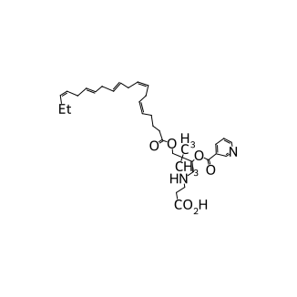 CC/C=C\CC=CCC=CC/C=C\C/C=C\CCCC(=O)OCC(C)(C)[C@H](CNCCC(=O)O)OC(=O)c1cccnc1